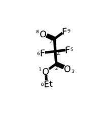 CCOC(=O)C(F)(F)C(=O)F